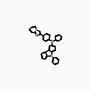 c1ccc(N(c2ccc(-c3cn4ccccc4n3)cc2)c2ccc3c(c2)c2ccccc2n3-c2ccccc2)cc1